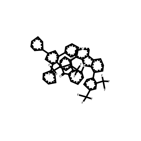 O=C1c2cccc(-n3c4c(-c5ccc(C(F)(F)F)cc5C(F)(F)F)cccc4c4cccc(-c5ccc(C(F)(F)F)cc5C(F)(F)F)c43)c2C(O)N1c1c(-c2ccccc2)cc(-c2ccccc2)cc1-c1ccccc1